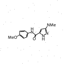 CNc1cc(C(=O)Nc2ccc(OC)cc2)[nH]n1